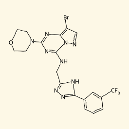 FC(F)(F)c1cccc(-c2nnc(CNc3nc(N4CCOCC4)nc4c(Br)cnn34)[nH]2)c1